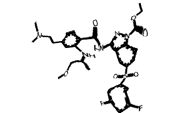 CCOC(=O)n1nc(NC(=O)c2ccc(CCN(C)C)cc2NC(C)COC)c2cc(S(=O)(=O)c3cc(F)cc(F)c3)ccc21